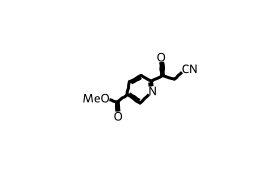 COC(=O)c1ccc(C(=O)CC#N)nc1